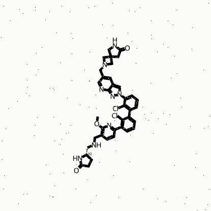 COc1nc(-c2cccc(-c3cccc(-n4cc5cc(CN6CC7(CNC(=O)C7)C6)cnc5n4)c3Cl)c2Cl)ccc1CNC[C@@H]1CCC(=O)N1